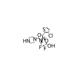 Clc1ccsc1-c1nnc(N2CCNCC2)o1.O=C(O)C(F)(F)F